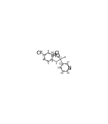 CC(O)(Cc1ccc(Cl)cc1Cl)c1cccnc1